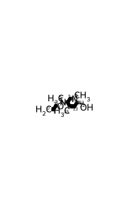 C=CCON(C)[C@H]1CN(C)[C@H](CO)C=C1C